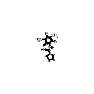 Cc1c(F)c(C)c(F)c(NC(=N)N2CCCC2)c1F